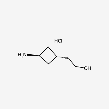 Cl.N[C@H]1C[C@H](CCO)C1